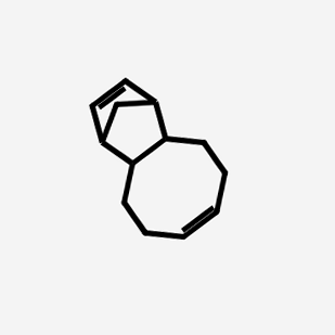 C1=CC2CC1C1CC/C=C\CCC21